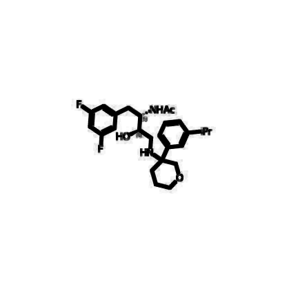 CC(=O)N[C@@H](Cc1cc(F)cc(F)c1)[C@H](O)CNC1(c2cccc(C(C)C)c2)CCCOC1